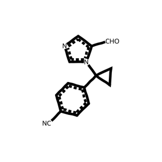 N#Cc1ccc(C2(n3cncc3C=O)CC2)cc1